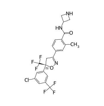 Cc1cc(C2=NO[C@@](c3cc(Cl)cc(C(F)(F)F)c3)(C(F)(F)F)C2)ccc1C(=O)NC1CNC1